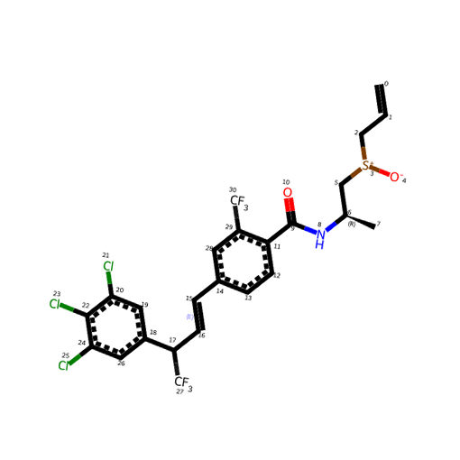 C=CC[S+]([O-])C[C@@H](C)NC(=O)c1ccc(/C=C/C(c2cc(Cl)c(Cl)c(Cl)c2)C(F)(F)F)cc1C(F)(F)F